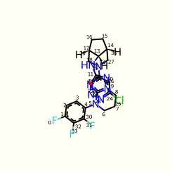 Fc1ccc(N2CCCn3nc(N[C@H]4[C@@H]5CC[C@H]4CN(c4cnnc(Cl)c4)C5)nc32)c(F)c1F